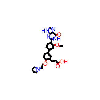 CCOc1cc(-c2ccc(OCCN3CCCC3)c(CCC(=O)O)c2)ccc1-c1nc2[nH]cnc2c(=O)[nH]1